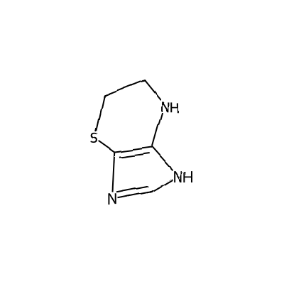 c1nc2c([nH]1)NCCS2